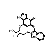 N=C1/C(=N/c2c(OCCO)nn3ccccc23)C=C(OCCO)c2[nH]ccc21